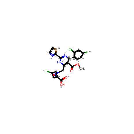 COC(=O)C1=C(CN2CC3(F)CC2(C(=O)O)C3)NC(c2nccs2)=N[C@H]1c1ccc(F)cc1Cl